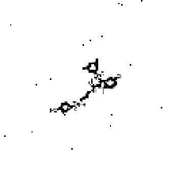 Cc1cc(C)cc(S(=O)(=O)c2c(C(=O)NCCCNS(=O)(=O)c3ccc(C#N)cc3)[nH]c3ccc(Cl)cc23)c1